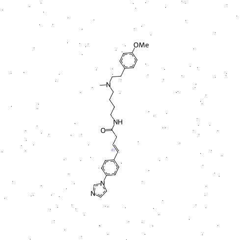 COc1ccc(CCN(C)CCCCNC(=O)C/C=C/c2ccc(-n3ccnc3)cc2)cc1